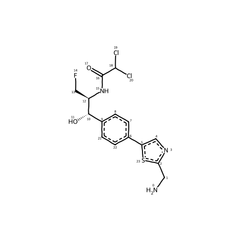 NCc1ncc(-c2ccc([C@H](O)[C@@H](CF)NC(=O)C(Cl)Cl)cc2)s1